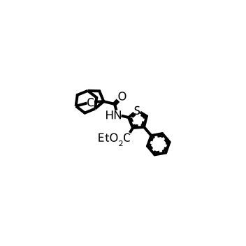 CCOC(=O)c1c(-c2ccccc2)csc1NC(=O)C12CC3CC(CC1C3)C2